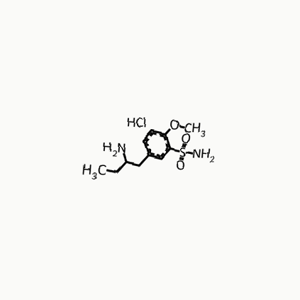 CCC(N)Cc1ccc(OC)c(S(N)(=O)=O)c1.Cl